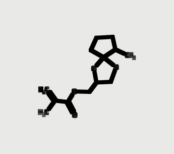 C=C(C)C(=O)OCC1COC2(CCCC2C)O1